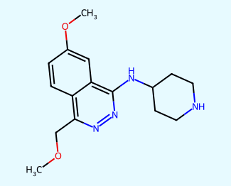 COCc1nnc(NC2CCNCC2)c2cc(OC)ccc12